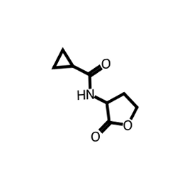 O=C(NC1CCOC1=O)C1CC1